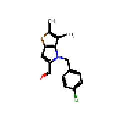 Cc1sc2cc(C=O)n(Cc3ccc(Br)cc3)c2c1C